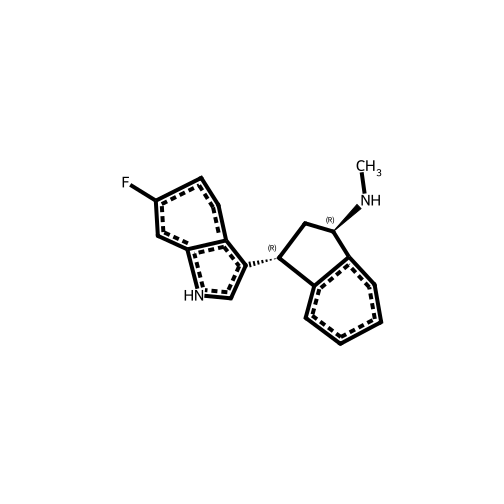 CN[C@@H]1C[C@@H](c2c[nH]c3cc(F)ccc23)c2ccccc21